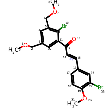 COCc1cc(COC)c(Br)c(C(=O)/C=C/c2ccc(OC)c(Br)c2)c1